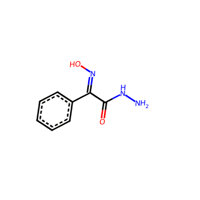 NNC(=O)/C(=N/O)c1ccccc1